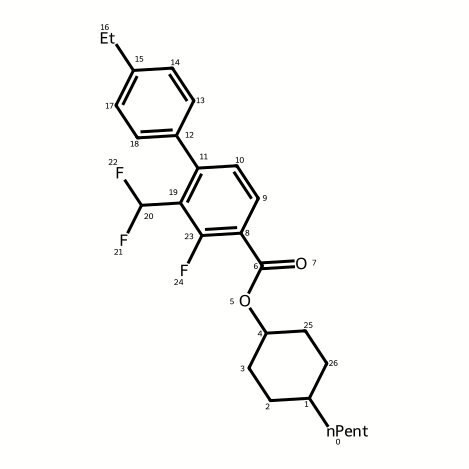 CCCCCC1CCC(OC(=O)c2ccc(-c3ccc(CC)cc3)c(C(F)F)c2F)CC1